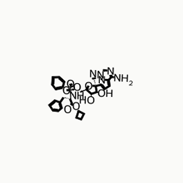 N#C[C@@]1(c2ccc3c(N)ncnn23)O[C@H](CO[P@@](=O)(N[C@@H](Cc2ccccc2)C(=O)OC2CCC2)Oc2ccccc2)[C@@H](O)[C@H]1O